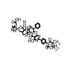 CC(=O)N(C(=O)[C@H](C)N)c1ccc(-c2ncc(C(=O)N(C(=O)C(N)c3ccccc3)C3C(=O)N4C(C(=O)O)=C(CSc5nnnn5CC(=O)O)CS[C@@H]34)c(O)n2)cc1